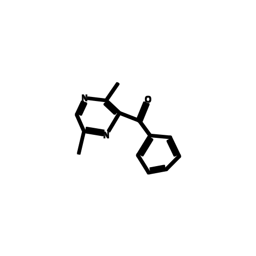 Cc1cnc(C)c(C(=O)c2ccccc2)n1